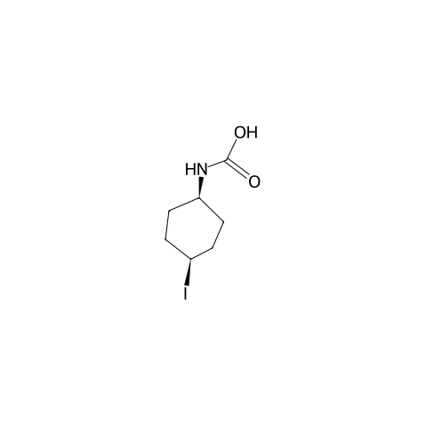 O=C(O)N[C@H]1CC[C@@H](I)CC1